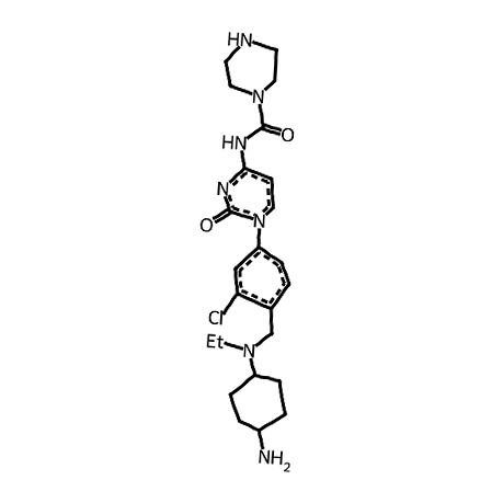 CCN(Cc1ccc(-n2ccc(NC(=O)N3CCNCC3)nc2=O)cc1Cl)C1CCC(N)CC1